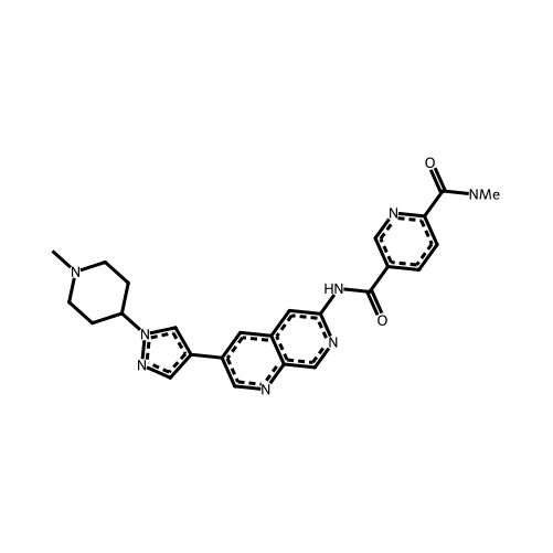 CNC(=O)c1ccc(C(=O)Nc2cc3cc(-c4cnn(C5CCN(C)CC5)c4)cnc3cn2)cn1